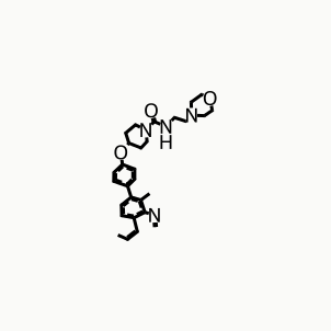 C=Nc1c(/C=C\C)ccc(-c2ccc(OC3CCN(C(=O)NCCN4CCOCC4)CC3)cc2)c1C